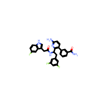 NC(=O)c1cccc(-c2ccc(N)nc2C(Cc2cc(F)cc(F)c2)NC(=O)Cc2c[nH]c3ccc(F)cc23)c1